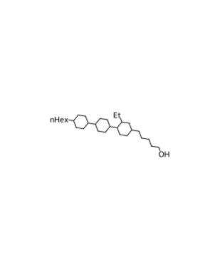 CCCCCCC1CCC(C2CCC(C3CCC(CCCCCO)CC3CC)CC2)CC1